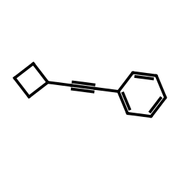 C(#CC1CCC1)c1ccccc1